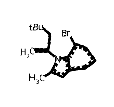 C=C(CC(C)(C)C)n1c(C)cc2cccc(Br)c21